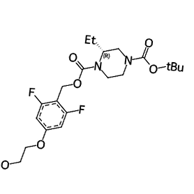 CC[C@@H]1CN(C(=O)OC(C)(C)C)CCN1C(=O)OCc1c(F)cc(OCCOC)cc1F